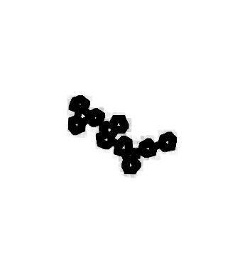 c1ccc(-c2ccc(-n3c4ccccc4c4cc(-c5cccc6c5c5ccccc5n6-c5ccc6c7ccccc7c7ccccc7c6c5)ccc43)cc2)cc1